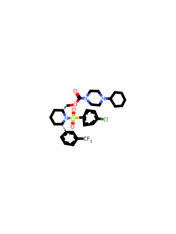 O=C(OC[C@H]1CCC[C@@H](c2cccc(C(F)(F)F)c2)N1S(=O)(=O)c1ccc(Cl)cc1)N1CCN(C2CCCCC2)CC1